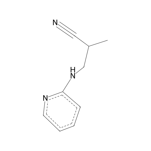 CC(C#N)CNc1ccccn1